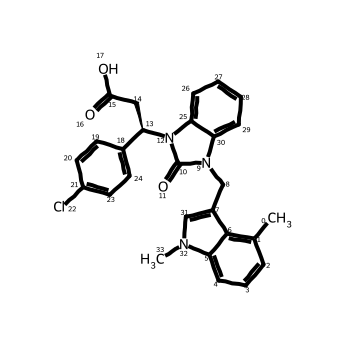 Cc1cccc2c1c(Cn1c(=O)n([C@H](CC(=O)O)c3ccc(Cl)cc3)c3ccccc31)cn2C